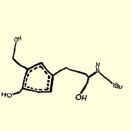 CC(C)(C)NC(O)Cc1ccc(O)c(CO)c1